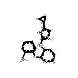 CC(C)(C)c1ccccc1Oc1ncccc1Nc1nc(C2CC2)cs1